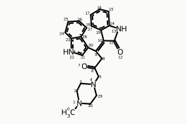 CN1CCN(CC(=O)CC(=C2C(=O)Nc3ccccc32)c2c[nH]c3ccccc23)CC1